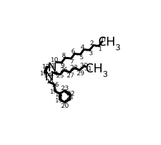 CCCCCCCCCCCn1cc[n+](CCCc2ccccc2)c1CCCCCCC